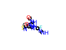 Cc1scnc1-c1cc2cnc(Nc3ccc(N4CCNCC4)c(F)c3)nc2n(Cc2cccn2C2CCOCC2)c1=O